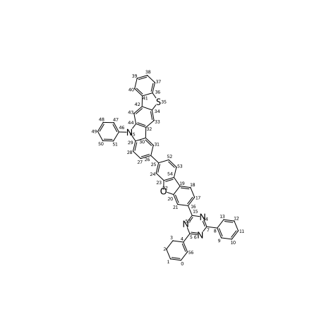 C1=CCCC(c2nc(-c3ccccc3)nc(-c3ccc4c(c3)oc3cc(-c5ccc6c(c5)c5cc7sc8ccccc8c7cc5n6-c5ccccc5)ccc34)n2)=C1